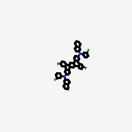 Fc1cccc(N(c2ccc3ccccc3c2)c2ccc3c(c2)c2cc(F)ccc2c2cc4c5ccc(N(c6cccc(F)c6)c6ccc7ccccc7c6)cc5c5cc(F)ccc5c4cc32)c1